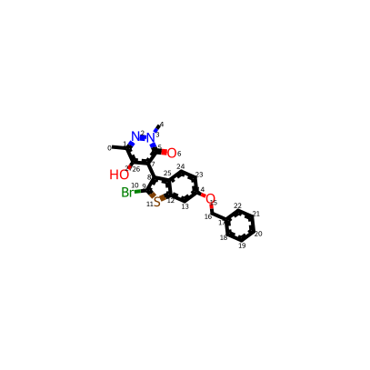 Cc1nn(C)c(=O)c(-c2c(Br)sc3cc(OCc4ccccc4)ccc23)c1O